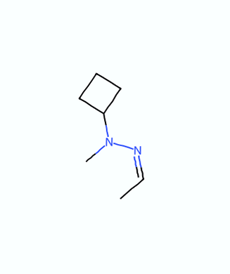 C/C=N\N(C)C1CCC1